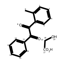 Cc1ccccc1C(=O)C(=O)c1ccccc1.O=C(O)CO